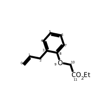 C=CCc1ccccc1OCC(=O)OCC